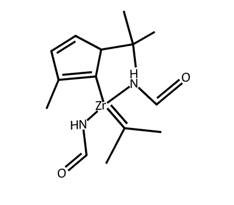 CC1=[C]([Zr]([NH]C=O)([NH]C=O)=[C](C)C)C(C(C)(C)C)C=C1